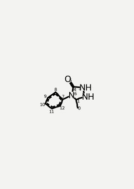 CC1NNC(=O)N1c1ccccc1